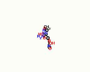 COc1cccc(-n2cc(-c3ccc(OCC(O)CN4CCOCC4)cc3)c(C(N)=O)c2NO)c1